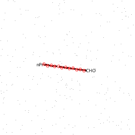 CCCOCCOCCOCCOCCOCCOCCOCCOCCOCCOCCOCCOCCC=O